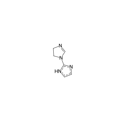 C1=NCCN1c1ncc[nH]1